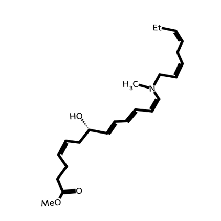 CC/C=C\C/C=C\CN(C)\C=C/C=C/C=C/[C@@H](O)C/C=C\CCC(=O)OC